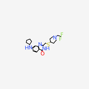 O=c1[nH]c(CSC2CCN(CC(F)F)CC2)nc2cc(NC3CCCC3)ccc12